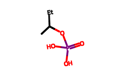 [CH2]CC(C)OP(=O)(O)O